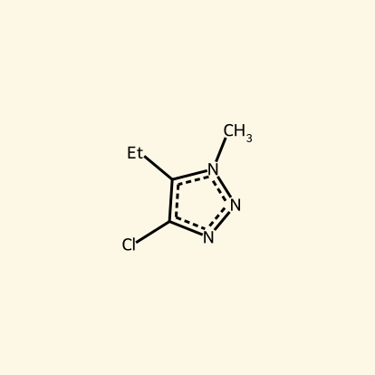 CCc1c(Cl)nnn1C